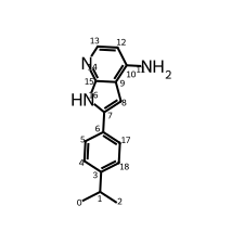 CC(C)c1ccc(-c2cc3c(N)ccnc3[nH]2)cc1